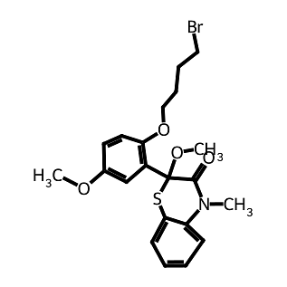 COc1ccc(OCCCCBr)c(C2(OC)Sc3ccccc3N(C)C2=O)c1